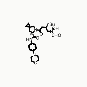 CCCCC(CC(=O)N1CC2(CC2)C[C@H]1C(=O)Nc1ccc(N2CCOCC2)cc1)CN(O)C=O